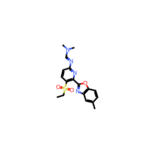 CCS(=O)(=O)c1ccc(/N=C/N(C)C)nc1-c1nc2cc(C)ccc2o1